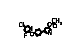 CC(=O)Oc1cncc(-c2ccc(Oc3ncc(Cl)cc3F)cc2)c1